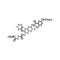 CCCCCCCOc1ccc(OCCCCCCCCOC(=O)CCC(=O)OCCCC)c(C(=O)OCCCCCCOC2CCCCO2)c1